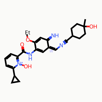 CCOC1=CC(=N)/C(=C\[N+]#CC2CCC(C)(O)CC2)C=C1NC(=O)c1cccc(C2CC2)[n+]1O